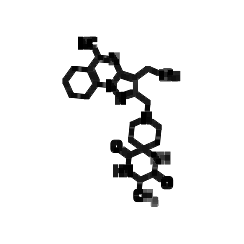 CC1NC(=O)C2(CCN(Cc3nn4c5c(c(C#N)nc4c3CC(C)(C)C)CCCC5)CC2)NC1=O